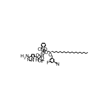 CCCCCCCCCCCCCCCCCCC[C@H](COP(=O)(OC[C@H]1O[C@@](C)(c2ccc3c(N)ncnn23)[C@@H]2OC(C)(C)O[C@@H]21)Oc1ccccc1Cl)OCc1cc(F)cc(C#N)c1